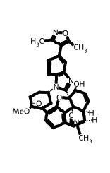 CO[C@H]1CC[C@H](n2c([C@@]34Oc5c(O)ccc6c5[C@@]35CCN(C)[C@H](C6)[C@@H]5C=C[C@@H]4O)nc3cc(-c4c(C)noc4C)ccc32)CC1